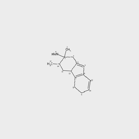 CNC1(C)CC2=CC3=C(CCC=C3)C2CC1C